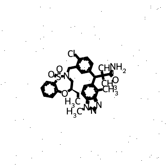 CC[C@@H]1CN(Cc2cc(C(c3ccc4c(nnn4C)c3C)C(C)(C)C(N)=O)ccc2Cl)S(=O)(=O)c2ccccc2O1